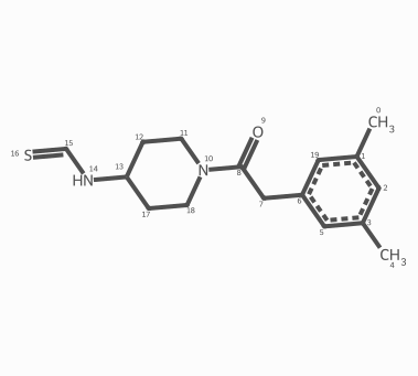 Cc1cc(C)cc(CC(=O)N2CCC(NC=S)CC2)c1